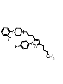 CCCCc1cc(CCCN2CCN(c3ccccc3F)CC2)n(-c2ccc(F)cc2)n1